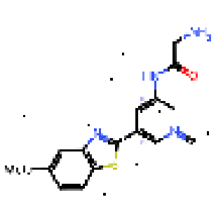 C=N/C=C(\C=C(/C)NC(=O)CN)c1nc2cc(OC)ccc2s1